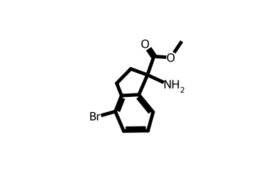 COC(=O)C1(N)CCc2c(Br)cccc21